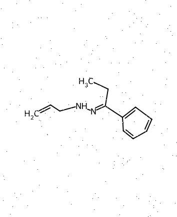 C=CCNN=C(CC)c1ccccc1